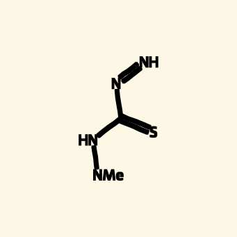 CNNC(=S)N=N